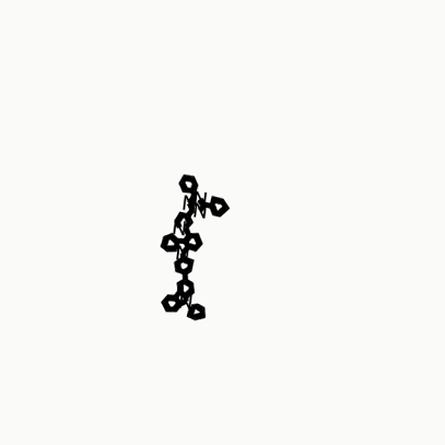 c1ccc(-c2nc(-c3ccccc3)nc(-c3ccnc(-c4cccc5c4c4ccccc4n5-c4ccc(-c5ccc6c(c5)c5ccccc5n6-c5ccccc5)cc4)c3)n2)cc1